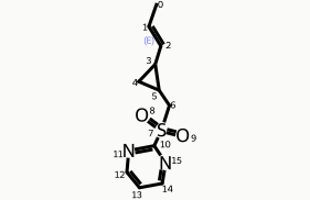 C/C=C/C1CC1CS(=O)(=O)c1ncccn1